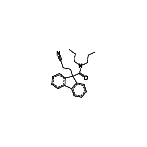 CCCN(CCC)C(=O)C1(CCC#N)c2ccccc2-c2ccccc21